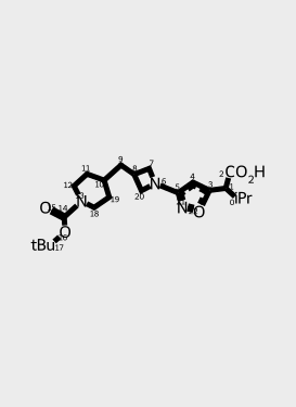 CC(C)C(C(=O)O)c1cc(N2CC(CC3CCN(C(=O)OC(C)(C)C)CC3)C2)no1